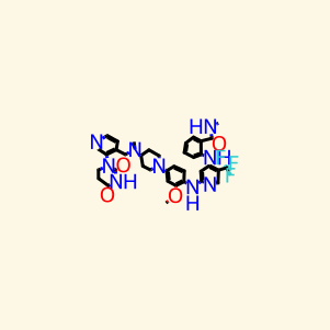 CNC(=O)c1ccccc1Nc1cc(Nc2ccc(N3CCC(N(C)Cc4ccncc4N4CCC(=O)NC4=O)CC3)cc2OC)ncc1C(F)(F)F